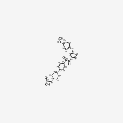 COc1ccc(Cc2nnc(NC(=O)c3ccc(C4CCC(CC(=O)O)CC4)cc3)s2)cc1